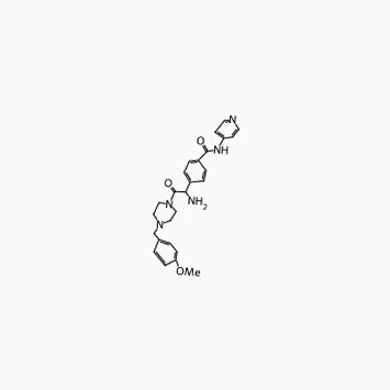 COc1ccc(CN2CCN(C(=O)C(N)c3ccc(C(=O)Nc4ccncc4)cc3)CC2)cc1